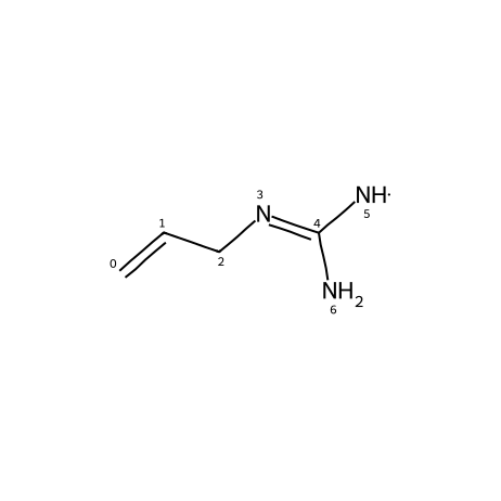 C=CCN=C([NH])N